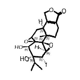 CC(C)[C@@]1(O)[C@@H](O)[C@]23OC2C[C@H]2C4=C(CC[C@]2(C)[C@@]32O[C@H]2[C@@H]1I)C(=O)OC4